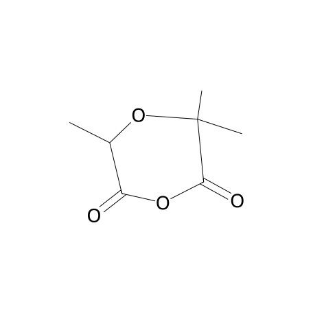 CC1OC(C)(C)C(=O)OC1=O